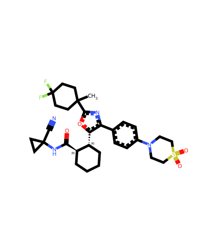 CC1(c2nc(-c3ccc(N4CCS(=O)(=O)CC4)cc3)c([C@@H]3CCCC[C@H]3C(=O)NC3(C#N)CC3)o2)CCC(F)(F)CC1